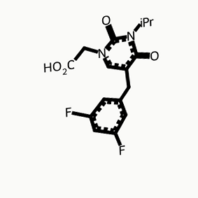 CC(C)n1c(=O)c(Cc2cc(F)cc(F)c2)cn(CC(=O)O)c1=O